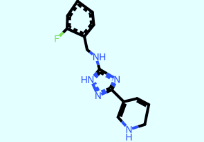 Fc1ccccc1CNc1nc(C2=CNCC=C2)n[nH]1